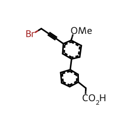 COc1ccc(-c2cccc(CC(=O)O)c2)cc1C#CCBr